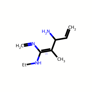 C=CC(N)/C(C)=C(\N=C)NCC